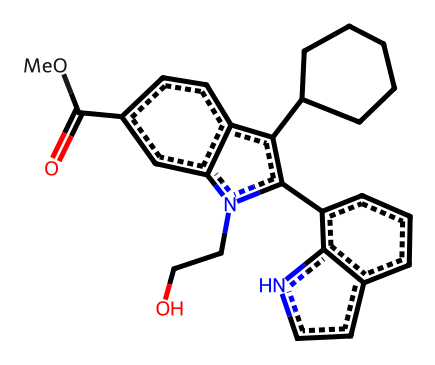 COC(=O)c1ccc2c(C3CCCCC3)c(-c3cccc4cc[nH]c34)n(CCO)c2c1